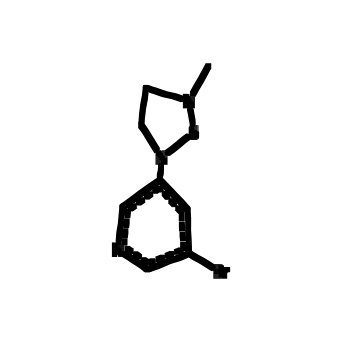 CN1CCN(c2cncc(Br)c2)S1